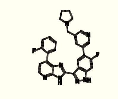 Fc1cc2[nH]nc(-c3nc4c(-c5ccccc5F)ccnc4[nH]3)c2cc1-c1cncc(CN2CCCC2)c1